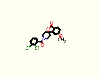 COc1ccc2c(c1)C1(CCN(C(=O)c3cccc(Cl)c3Cl)CC1)OC2=O